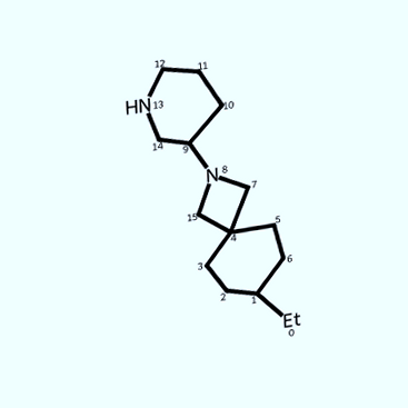 CCC1CCC2(CC1)CN(C1CCCNC1)C2